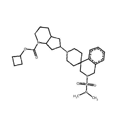 CN(C)S(=O)(=O)N1Cc2ccccc2C2(CCN(C3CC4CCCN(C(=O)OC5CCC5)C4C3)CC2)C1